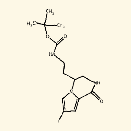 CC(C)(C)OC(=O)NCCC1CNC(=O)c2cc(I)cn21